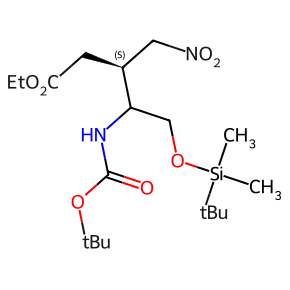 CCOC(=O)C[C@@H](C[N+](=O)[O-])C(CO[Si](C)(C)C(C)(C)C)NC(=O)OC(C)(C)C